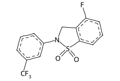 O=S1(=O)c2cccc(F)c2CN1c1cccc(C(F)(F)F)c1